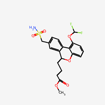 COC(=O)CCCC1Oc2cccc(OC(F)F)c2-c2ccc(CS(N)(=O)=O)cc21